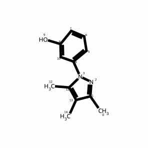 Cc1nn(-c2cccc(O)c2)c(C)c1C